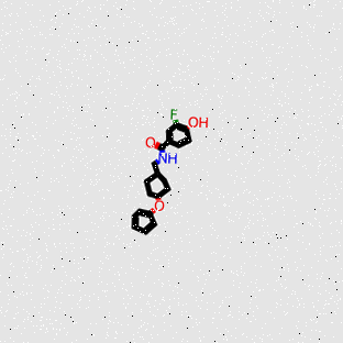 O=C(NCC1CCC(Oc2ccccc2)CC1)c1ccc(O)c(F)c1